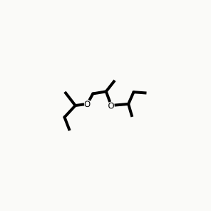 CCC(C)OCC(C)OC(C)CC